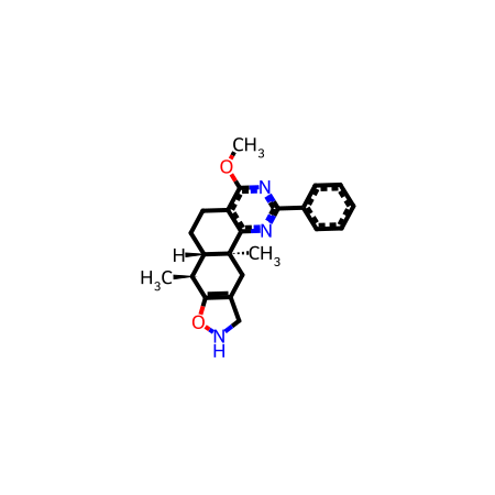 COc1nc(-c2ccccc2)nc2c1CC[C@H]1[C@H](C)C3=C(CNO3)C[C@]21C